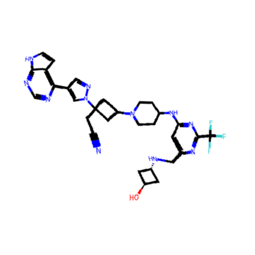 N#CCC1(n2cc(-c3ncnc4[nH]ccc34)cn2)CC(N2CCC(Nc3cc(CN[C@H]4C[C@H](O)C4)nc(C(F)(F)F)n3)CC2)C1